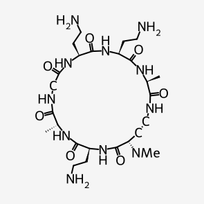 CN[C@H]1CCNC(=O)[C@H](C)NC(=O)[C@H](CCN)NC(=O)[C@H](CCN)NC(=O)CNC(=O)[C@@H](C)NC(=O)[C@H](CCN)NC1=O